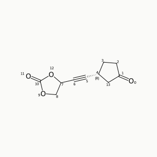 O=C1CC[C@@H](C#CC2COC(=O)O2)C1